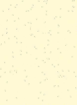 CCOC(COCCN)COCCN